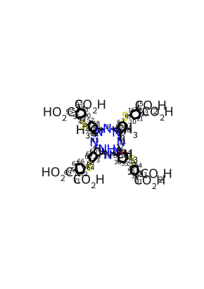 CN1/C2=N\C3c4cc(Sc5ccc(C(=O)O)c(C(=O)O)c5)ccc4/C(=N/C4c5cc(Sc6ccc(C(=O)O)c(C(=O)O)c6)ccc5/C(=N/C5N/C(=N\C1c1cc(Sc6ccc(C(=O)O)c(C(=O)O)c6)ccc12)c1ccc(Sc2ccc(C(=O)O)c(C(=O)O)c2)cc15)N4C)N3C